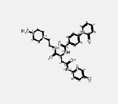 CN1CCN(CCNC(=O)C(CC(=O)Nc2ccc(Cl)cn2)NC(=O)c2ccc(-n3ccccc3=O)cc2)CC1